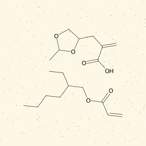 C=C(CC1COC(C)O1)C(=O)O.C=CC(=O)OCC(CC)CCCC